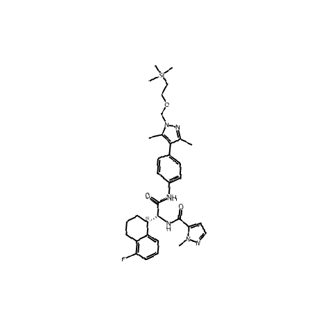 Cc1nn(COCC[Si](C)(C)C)c(C)c1-c1ccc(NC(=O)C(NC(=O)c2ccnn2C)[C@H]2CCCc3c(F)cccc32)cc1